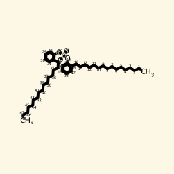 CCCCCCCCCCCCCCCCc1ccccc1OS(=O)(=O)Oc1ccccc1CCCCCCCCCCCCCCCC